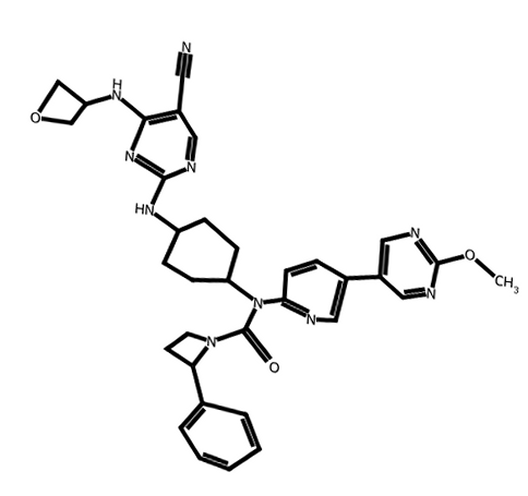 COc1ncc(-c2ccc(N(C(=O)N3CCC3c3ccccc3)C3CCC(Nc4ncc(C#N)c(NC5COC5)n4)CC3)nc2)cn1